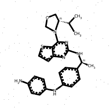 CC(C)[C@H]1COCN1c1nc(N[C@@H](C)c2ccc(Nc3ccc(N)cc3)cc2)nc2ccsc12